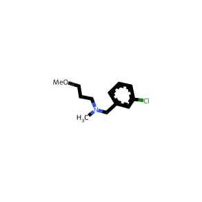 COCCCN(C)Cc1cccc(Cl)c1